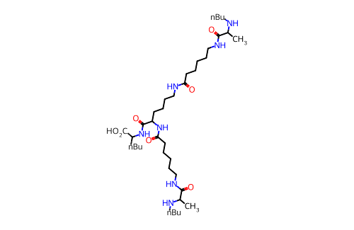 CCCCNC(C)C(=O)NCCCCCC(=O)NCCCCC(NC(=O)CCCCCNC(=O)C(C)NCCCC)C(=O)NC(CCCC)C(=O)O